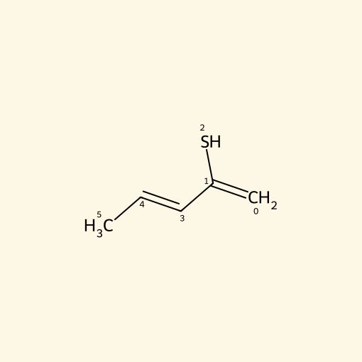 C=C(S)/C=C/C